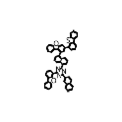 c1ccc2cc(-c3nc(-c4cccc5c(-c6cc(-c7cccc8c7sc7ccccc78)cc7oc8ccccc8c67)cccc45)nc(-c4cccc5c4oc4ccccc45)n3)ccc2c1